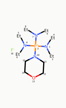 CCN(CC)[P+](N(CC)CC)(N(CC)CC)N1CCOCC1.[F-]